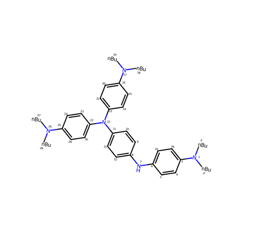 CCCCN(CCCC)c1ccc(Nc2ccc(N(c3ccc(N(CCCC)CCCC)cc3)c3ccc(N(CCCC)CCCC)cc3)cc2)cc1